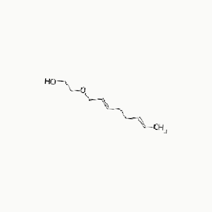 CC=CCCC=CCOCCO